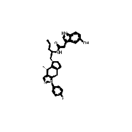 CCCC(C[C@H]1CCC2=C1[C@@H](C)c1cnn(-c3ccc(F)cc3)c1C2)NC(=O)Cc1c[nH]c2ccc(O)cc12